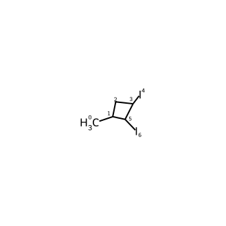 CC1CC(I)C1I